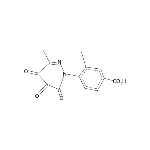 CC1=NN(c2ccc(C(=O)O)cc2C)C(=O)C(=O)C1=O